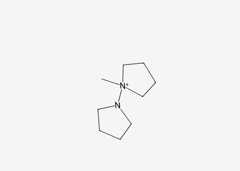 C[N+]1(N2CCCC2)CCCC1